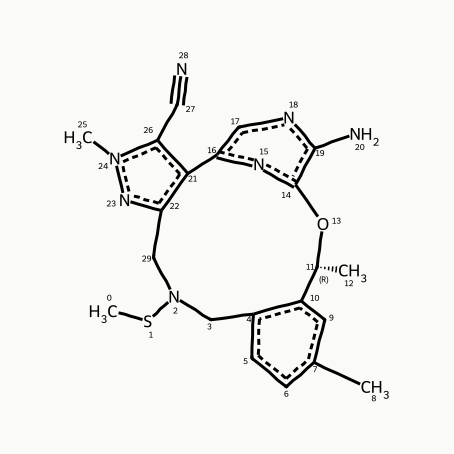 CSN1Cc2ccc(C)cc2[C@@H](C)Oc2nc(cnc2N)-c2c(nn(C)c2C#N)C1